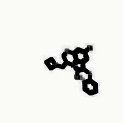 Cc1c(Sc2ccccc2)c2cc(Cl)cc3c2n1C(CN1CCC1)CO3